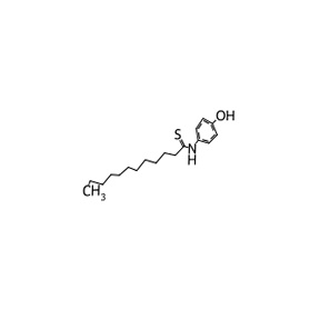 CCCCCCCCCCCC(=S)Nc1ccc(O)cc1